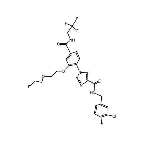 O=C(NCC(F)(F)F)c1ccc(-n2cc(C(=O)NCc3ccc(F)c(Cl)c3)nn2)c(OCCOCCF)c1